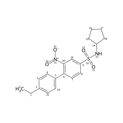 CCc1ccc(-c2ccc(S(=O)(=O)NC3CCCC3)cc2[N+](=O)[O-])cc1